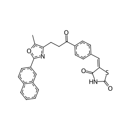 Cc1oc(-c2ccc3ccccc3c2)nc1CCC(=O)c1ccc(C=C2SC(=O)NC2=O)cc1